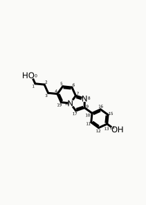 OCCCc1ccc2nc(-c3ccc(O)cc3)cn2c1